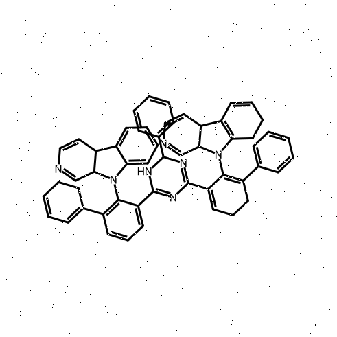 C1=CCCC(c2cccc(C3=NC(C4=CCCC(c5ccccc5)=C4N4C5=C(C=CCC5)C5C=CN=CC54)=NC(c4ccccc4)N3)c2N2c3ccccc3C3C=CN=CC32)=C1